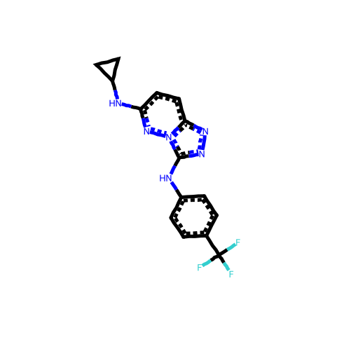 FC(F)(F)c1ccc(Nc2nnc3ccc(NC4CC4)nn23)cc1